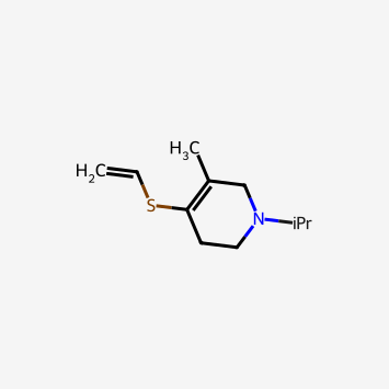 C=CSC1=C(C)CN(C(C)C)CC1